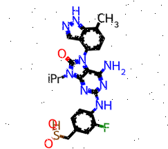 Cc1ccc(-n2c(=O)n(C(C)C)c3nc(Nc4ccc(C[SH](=O)=O)cc4F)nc(N)c32)c2cn[nH]c12